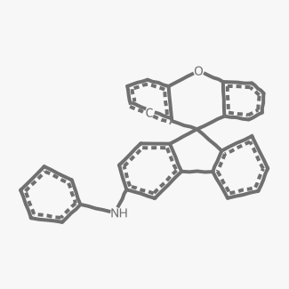 c1ccc(Nc2ccc3c(c2)-c2ccccc2C32c3ccccc3Oc3ccccc32)cc1